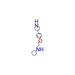 c1cc(C2CCNCC2)ccc1OCCCNC1CCCCC1